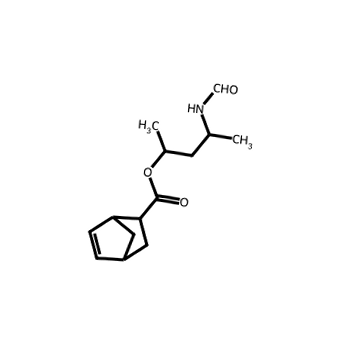 CC(CC(C)OC(=O)C1CC2C=CC1C2)NC=O